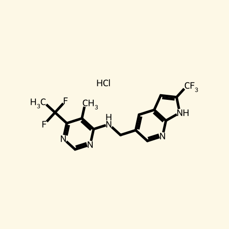 Cc1c(NCc2cnc3[nH]c(C(F)(F)F)cc3c2)ncnc1C(C)(F)F.Cl